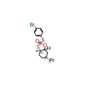 CC(C)[C@@H]1CC[C@]2(C)S[P@](=O)(Sc3ccc(Br)cc3)O[C@H]2C1